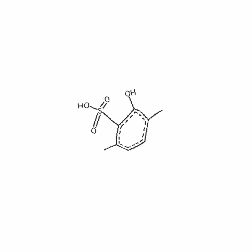 Cc1ccc(C)c(S(=O)(=O)O)c1O